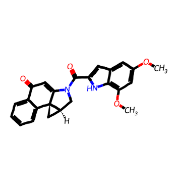 COc1cc(OC)c2[nH]c(C(=O)N3C[C@H]4C[C@@]45C3=CC(=O)c3ccccc35)cc2c1